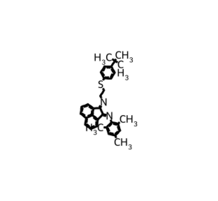 Cc1cc(C)c(/N=C2/C(=N/CCSc3ccc(C(C)(C)C)cc3)c3cccc4cccc2c34)c(C)c1